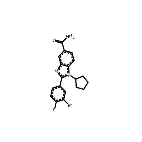 NC(=O)c1ccc2c(c1)nc(-c1ccc(F)c(Br)c1)n2C1CCCC1